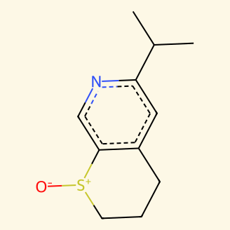 CC(C)c1cc2c(cn1)[S+]([O-])CCC2